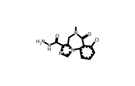 CN1Cc2c(C(=O)NN)ncn2-c2cccc(Cl)c2C1=O